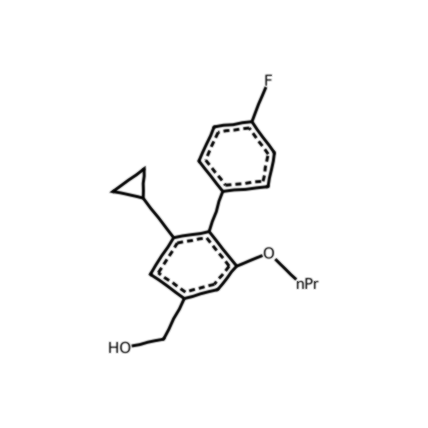 CCCOc1cc(CO)cc(C2CC2)c1-c1ccc(F)cc1